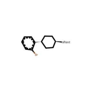 CCCCC[C@H]1CC[C@H](c2ccccc2Br)CC1